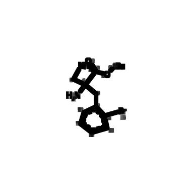 CC(C)(C)OC(=O)C(N)(CN)Cc1ccccc1Br